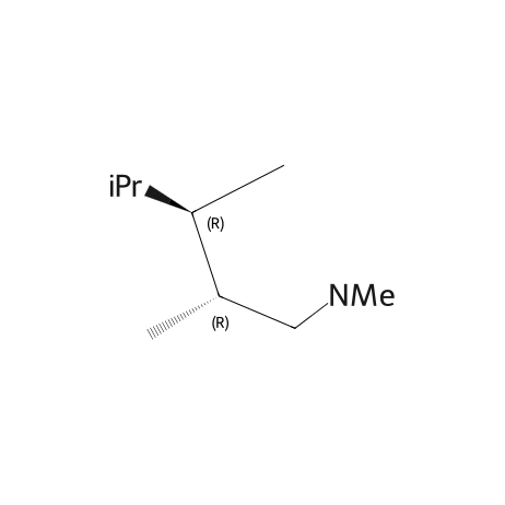 CNC[C@H](C)[C@H](C)C(C)C